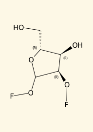 OC[C@H]1OC(OF)[C@H](OF)[C@@H]1O